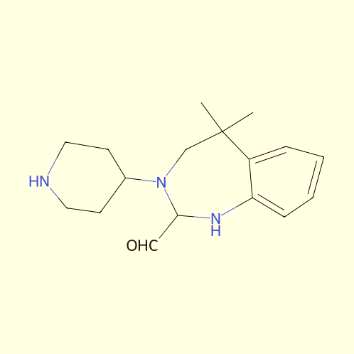 CC1(C)CN(C2CCNCC2)C(C=O)Nc2ccccc21